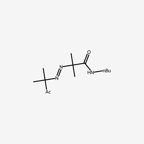 CCCCNC(=O)C(C)(C)N=NC(C)(C)C(C)=O